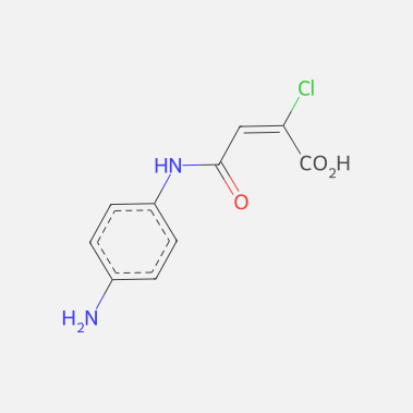 Nc1ccc(NC(=O)/C=C(/Cl)C(=O)O)cc1